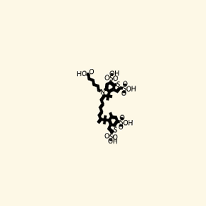 C=C(/C=C/C=C/C=C1/N(CCCCCC(=O)O)c2cc(S(=O)(=O)O)c3sc(S(=O)(=O)O)cc3c2C1(C)C)C(C)(C)c1c(C)cc(S(=O)(=O)O)c2sc(S(=O)(=O)O)cc12